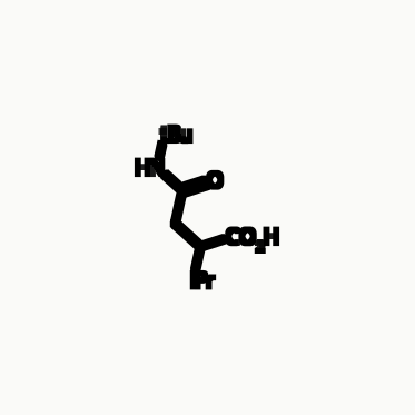 CC(C)C(CC(=O)NC(C)(C)C)C(=O)O